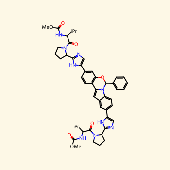 COC(=O)NC(C(=O)N1CCCC1c1ncc(-c2ccc3c(c2)O[C@@H](c2ccccc2)n2c-3cc3cc(-c4cnc(C5CCCN5C(=O)C(NC(=O)OC)C(C)C)[nH]4)ccc32)[nH]1)C(C)C